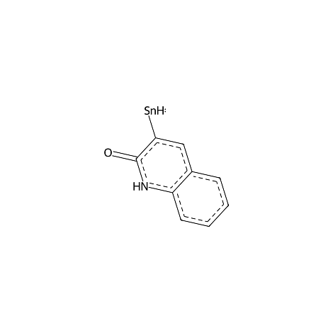 O=c1[nH]c2ccccc2c[c]1[SnH]